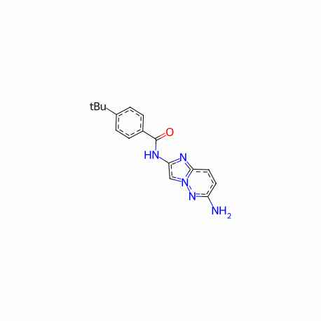 CC(C)(C)c1ccc(C(=O)Nc2cn3nc(N)ccc3n2)cc1